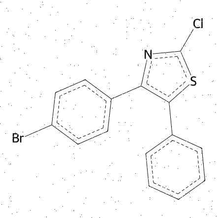 Clc1nc(-c2ccc(Br)cc2)c(-c2ccccc2)s1